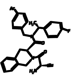 CC(=O)c1ccc(CN(C(=O)[C@@H]2Cc3ccccc3CN2C(=O)[C@@H](N)C(C)(C)C)[C@H](C)c2ccc(F)cc2)cc1